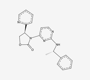 C[C@H](Nc1nccc(N2C(=O)OC[C@H]2c2ccccn2)n1)c1ccccc1